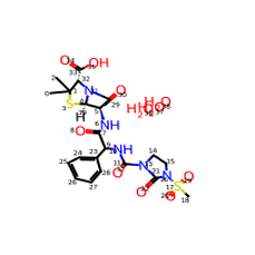 CC1(C)S[C@@H]2[C@H](NC(=O)C(NC(=O)N3CCN(S(C)(=O)=O)C3=O)c3ccccc3)C(=O)N2[C@H]1C(=O)O.O.O.O